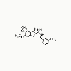 COc1cc2c(cc1OC)-c1n[nH]c(NCc3cccc(C)c3)c1C2